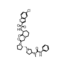 CN(C(=O)Nc1ccccc1)C1CCN(C[C@@H]2CCCN2C(=O)CN2CCC[C@H](NS(=O)(=O)c3cc4cc(Cl)ccc4s3)C2=O)C1